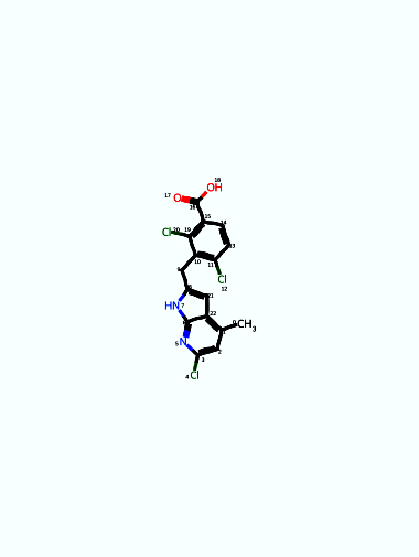 Cc1cc(Cl)nc2[nH]c(Cc3c(Cl)ccc(C(=O)O)c3Cl)cc12